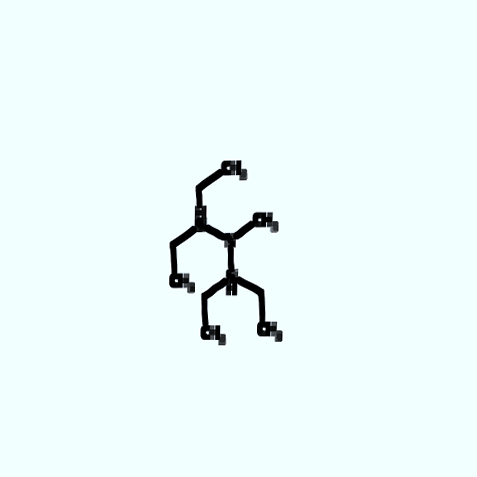 CC[SiH](CC)N(C)[SiH](CC)CC